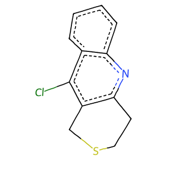 Clc1c2c(nc3ccccc13)CCSC2